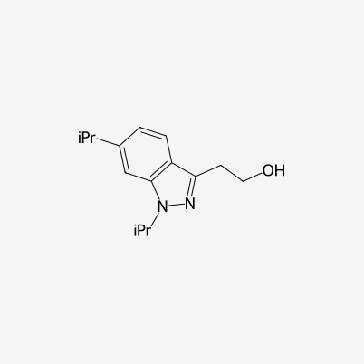 CC(C)c1ccc2c(CCO)nn(C(C)C)c2c1